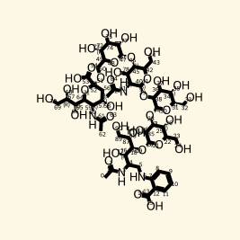 CC(=O)NC(CNc1ccccc1C(=O)O)[C@@H](O)[C@H](O[C@@H]1OC(CO)[C@@H](O)[C@H](O[C@H]2O[C@H](CO)[C@@H](O)C(O)C2O[C@@H]2OC(CO)[C@@H](O[C@@H]3OC(CO[C@]4(C(=O)O)C[C@@H](O)[C@@H](NC(C)=O)C([C@H](O)[C@H](O)CO)O4)[C@H](O)C(O)[C@@H]3O)C(O)[C@@H]2NC(C)=O)C1O)C(O)CO